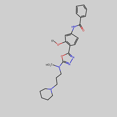 CCOc1cc(NC(=O)c2ccccc2)ccc1-c1nnc(N(CCCN2CCCCC2)C(=O)O)o1